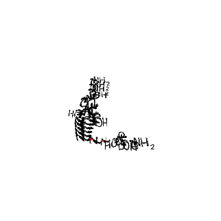 C=CC#N.C=CC#N.C=CC#N.C=CC#N.C=CC#N.C=CC#N.C=CC#N.C=CC(=O)N(C=C(CC)C(=O)O)C=C(CC)C(=O)O.C=CC(=O)N(C=C(CC)C(=O)O)C=C(CC)C(=O)O.C=CC(=O)NC=C(CC)C(=O)O.C=CC(N)=O.C=CC(N)=O.C=CC(N)=O.C=CC(N)=O